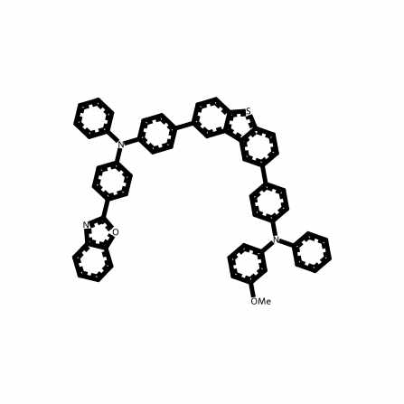 COc1cccc(N(c2ccccc2)c2ccc(-c3ccc4sc5ccc(-c6ccc(N(c7ccccc7)c7ccc(-c8nc9ccccc9o8)cc7)cc6)cc5c4c3)cc2)c1